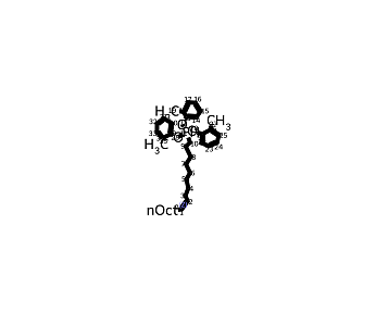 CCCCCCCC/C=C\CCCCCCCC[PH](Oc1ccccc1C)(Oc1ccccc1C)Oc1ccccc1C